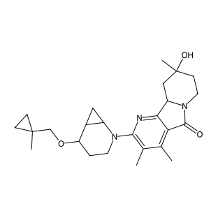 Cc1c(N2CCC(OCC3(C)CC3)C3CC32)nc2c(c1C)C(=O)N1CCC(C)(O)CC21